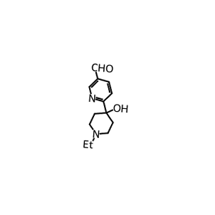 CCN1CCC(O)(c2ccc(C=O)cn2)CC1